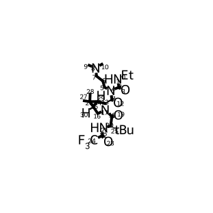 CCNC(=O)N(CCCN(C)C)C(=O)[C@@H]1[C@@H]2[C@H](CN1C(=O)[C@@H](NC(=O)C(F)(F)F)C(C)(C)C)C2(C)C